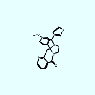 COc1ccc(C23Cc4ncccc4C(=O)N2CCN3C(=O)c2ccoc2)cc1